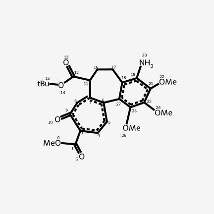 COC(=O)c1ccc2c(cc1=O)C(C(=O)OC(C)(C)C)CCc1c(N)c(OC)c(OC)c(OC)c1-2